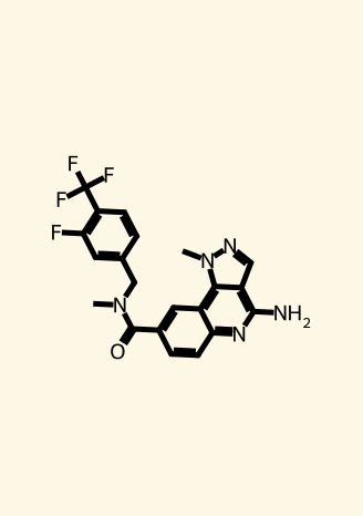 CN(Cc1ccc(C(F)(F)F)c(F)c1)C(=O)c1ccc2nc(N)c3cnn(C)c3c2c1